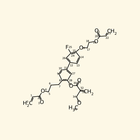 C=CC(=O)OCCCc1ccc(-c2ccc(OCCOC(=O)C=C)c(F)c2)cc1OC(=O)C(=C)COC